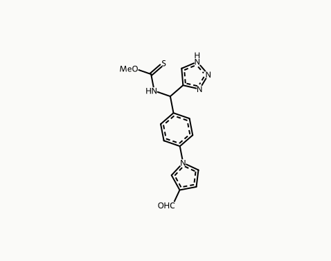 COC(=S)NC(c1ccc(-n2ccc(C=O)c2)cc1)c1c[nH]nn1